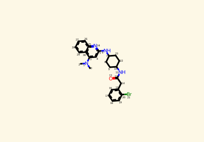 CN(C)c1cc(NC2CCC(NC(=O)Cc3ccccc3Br)CC2)nc2ccccc12